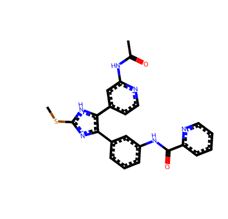 CSc1nc(-c2cccc(NC(=O)c3ccccn3)c2)c(-c2ccnc(NC(C)=O)c2)[nH]1